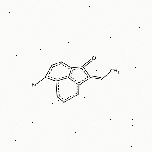 CC=c1c(=O)c2ccc(Br)c3cccc1c32